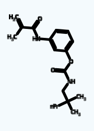 C=C(C)C(=O)Nc1cccc(OC(=O)NCC(C)(C)CCC)c1